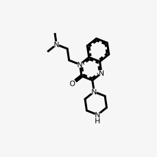 CN(C)CCn1c(=O)c(N2CCNCC2)nc2ccccc21